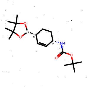 CC(C)(C)OC(=O)N[C@@H]1C=C[C@H](B2OC(C)(C)C(C)(C)O2)CC1